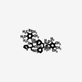 COC(=O)C(C(=O)O)C(C[N+](=O)[O-])c1cccs1.Cc1c(C)c(C)c(C)c(C)c1C.Cc1c(C)c(C)c(S(=O)(=O)N[C@@H](c2ccccc2)[C@@H](N)c2ccccc2)c(C)c1C.[Ru]